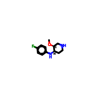 CO[C@H]1CNCC[C@H]1Nc1ccc(F)cc1